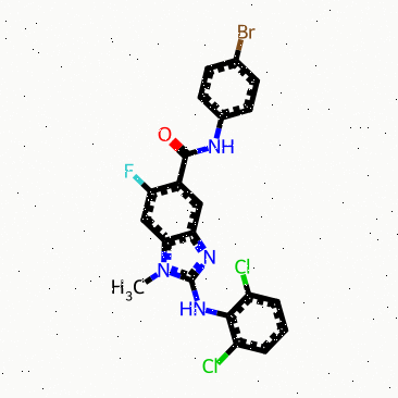 Cn1c(Nc2c(Cl)cccc2Cl)nc2cc(C(=O)Nc3ccc(Br)cc3)c(F)cc21